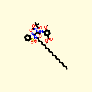 CCCCCCCCCCCCCCCCCCN1C(C(C(=O)Nc2cc(C(=O)OC)ccc2OC)N2C(=O)OC(C)(C)C2=O)=Nc2ccccc2S1(=O)=O